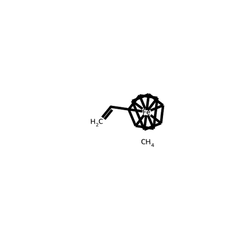 C.C=C[C]12[CH]3[CH]4[CH]5[CH]1[Fe]45321678[CH]2[CH]1[CH]6[CH]7[CH]28